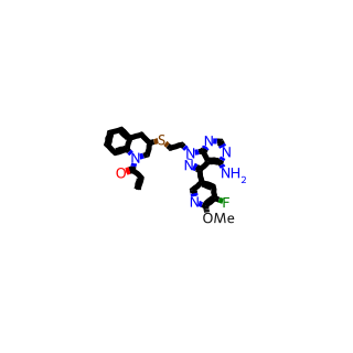 C=CC(=O)N1CC(SCCn2nc(-c3cnc(OC)c(F)c3)c3c(N)ncnc32)Cc2ccccc21